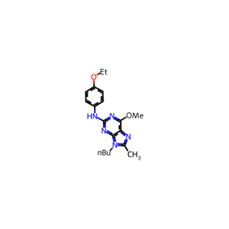 CCCCn1c(C)nc2c(OC)nc(Nc3ccc(OCC)cc3)nc21